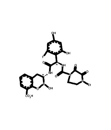 CCN1CCN(C(=O)N[C@@H](C(=O)N[C@H]2Cc3cccc(C(=O)O)c3OB2O)c2c(O)cc(O)cc2F)C(=O)C1=O